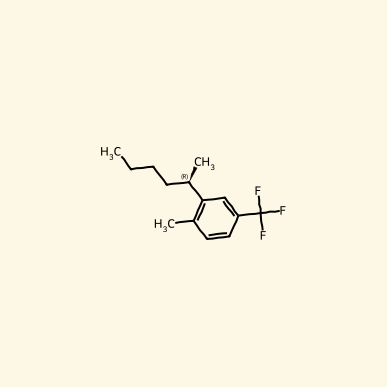 CCCC[C@@H](C)c1cc(C(F)(F)F)ccc1C